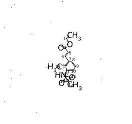 CCOC(=O)/C=C/c1cccc(NS(C)(=O)=O)c1C